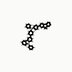 CC1(C)c2ccccc2-c2ccc(-c3ccc(N(c4ccccc4)c4ccc(-c5ccc6c(c5)c5ccccc5n6-c5ccccc5)cc4)cc3)cc21